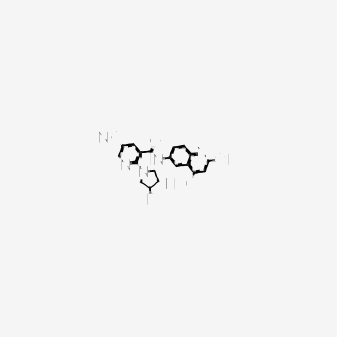 Cc1cc(O)nc2ccc(NC(=O)c3cc(C#N)cnc3N3CCC(F)C3)cc12